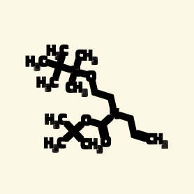 C=CCN(CCO[Si](C)(C)C(C)(C)C)C(=O)OC(C)(C)C